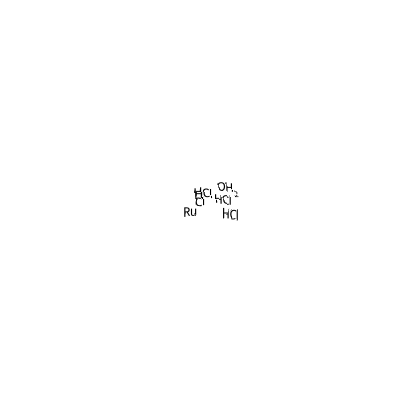 Cl.Cl.Cl.Cl.O.[Ru]